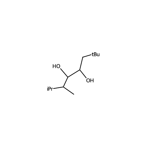 CC(C)C(C)C(O)C(O)CC(C)(C)C